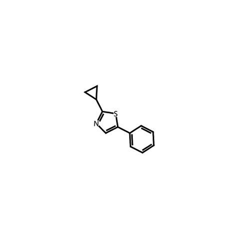 c1ccc(-c2cnc(C3CC3)s2)cc1